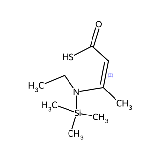 CCN(/C(C)=C\C(=O)S)[Si](C)(C)C